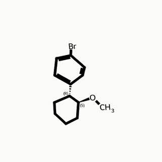 CO[C@H]1CCCC[C@@H]1c1ccc(Br)cc1